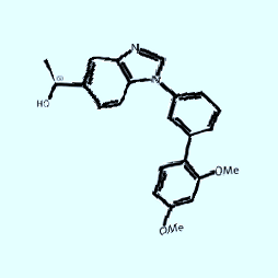 COc1ccc(-c2cccc(-n3cnc4cc([C@H](C)O)ccc43)c2)c(OC)c1